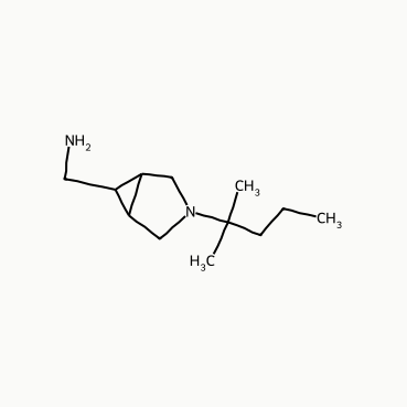 CCCC(C)(C)N1CC2C(CN)C2C1